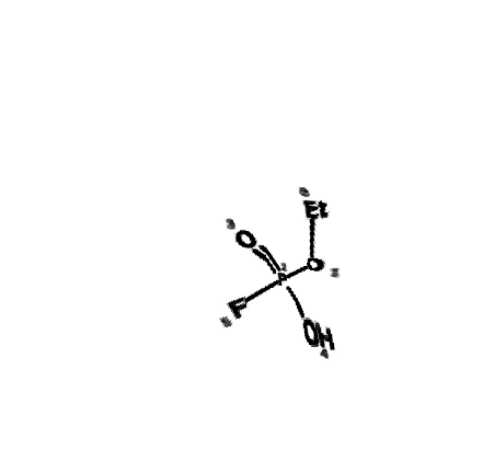 CCOP(=O)(O)F